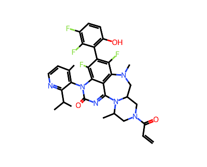 C=CC(=O)N1CC(C)N2c3nc(=O)n(-c4c(C)ccnc4C(C)C)c4c(F)c(-c5c(O)ccc(F)c5F)c(F)c(c34)N(C)CC2C1